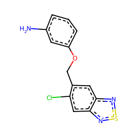 Nc1cccc(OCc2cc3nsnc3cc2Cl)c1